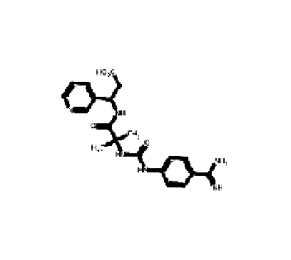 CC(C)(NC(=O)Nc1ccc(C(=N)N)cc1)C(=O)NC(CC(=O)O)c1cccnc1